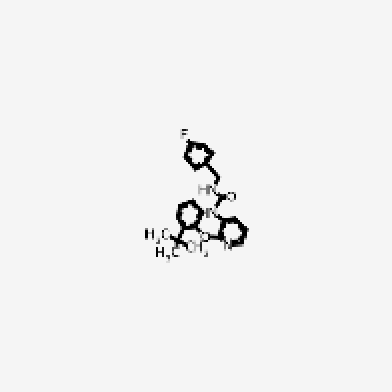 CC(C)(C)c1ccccc1Oc1ncccc1NC(=O)NCc1ccc(F)cc1